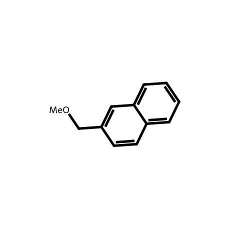 [CH2]OCc1ccc2ccccc2c1